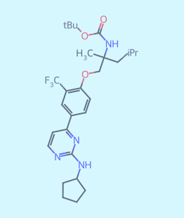 CC(C)CC(C)(COc1ccc(-c2ccnc(NC3CCCC3)n2)cc1C(F)(F)F)NC(=O)OC(C)(C)C